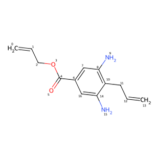 C=CCOC(=O)c1cc(N)c(CC=C)c(N)c1